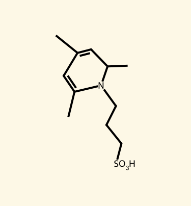 CC1=CC(C)N(CCCS(=O)(=O)O)C(C)=C1